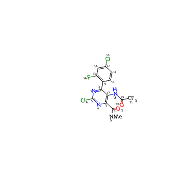 CNC(=O)c1nc(Cl)nc(-c2ccc(Cl)cc2F)c1NC(=O)C(F)(F)F